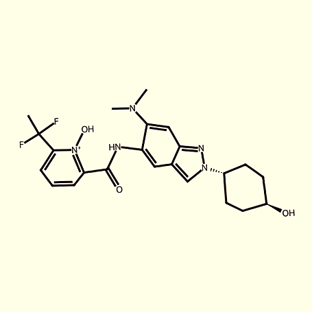 CN(C)c1cc2nn([C@H]3CC[C@H](O)CC3)cc2cc1NC(=O)c1cccc(C(C)(F)F)[n+]1O